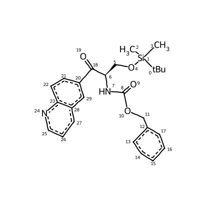 CC(C)(C)[Si](C)(C)OC[C@@H](NC(=O)OCc1ccccc1)C(=O)c1ccc2ncccc2c1